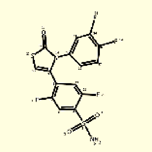 NS(=O)(=O)c1cc(F)c(-c2csc(=O)n2-c2ccc(F)c(F)c2)cc1F